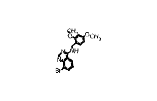 COc1ccc(CNc2ncnc3c(Br)cccc23)c(OC)c1